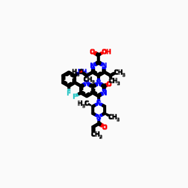 C=CC(=O)N1C[C@H](C)N(c2nc(=O)n(-c3c(C(C)C)nc(C(=O)O)nc3C(C)C)c3nc(-c4c(N)cccc4F)c(F)cc23)C[C@H]1C